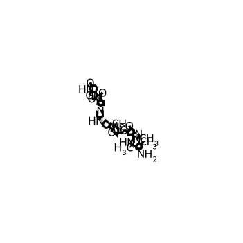 COc1cc2nc(C)nc(N[C@H](C)c3cc(N)cc(C(F)(F)F)c3)c2cc1OCC1(CN(C)C(=O)C2CCC(NC3CCN(c4ccc5c(c4)C(=O)N(C4CCC(=O)NC4=O)C5=O)CC3)CC2)CC1